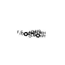 CCCc1ccc(OCC(C)(C#N)NC(=O)c2ccc(OC(F)(F)F)cc2)c(NC(C)=O)c1B(O)O